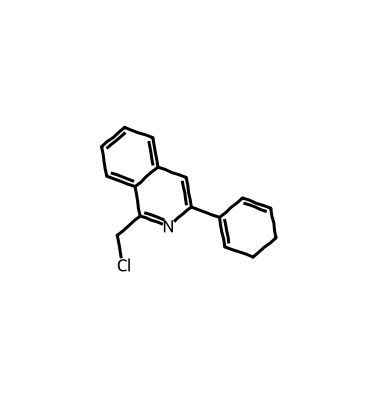 ClCc1nc(C2=CCCC=C2)cc2ccccc12